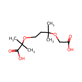 CC(C)(CCOC(C)(C)C(=O)O)OCC(=O)O